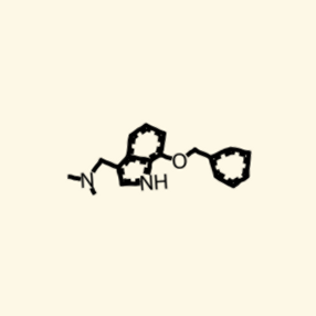 CN(C)Cc1c[nH]c2c(OCc3ccccc3)cccc12